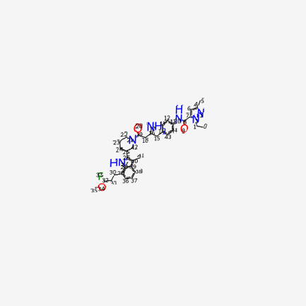 CCn1nc(C)cc1C(=O)Nc1ccc(CC(N)CC(=O)N2CCCC(c3[nH]c4c(CCC(F)OC)cccc4c3C)C2)cc1